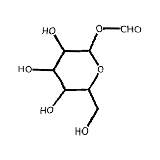 O=COC1OC(CO)C(O)C(O)C1O